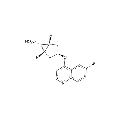 O=C(O)[C@@H]1[C@@H]2C[C@@H](Oc3ccnc4ccc(F)cc34)C[C@@H]21